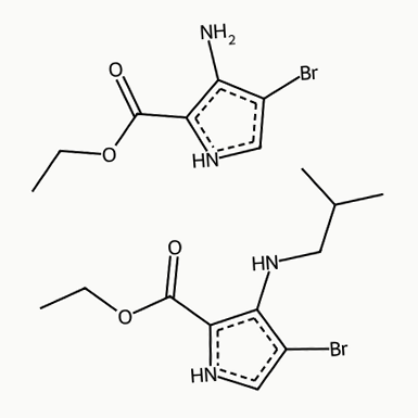 CCOC(=O)c1[nH]cc(Br)c1N.CCOC(=O)c1[nH]cc(Br)c1NCC(C)C